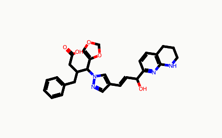 O=C(O)CC(Cc1ccccc1)C(C1=COCO1)n1cc(C=CC(O)c2ccc3c(n2)NCCC3)cn1